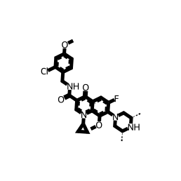 COc1ccc(CNC(=O)c2cn(C3CC3)c3c(OC)c(N4C[C@@H](C)N[C@@H](C)C4)c(F)cc3c2=O)c(Cl)c1